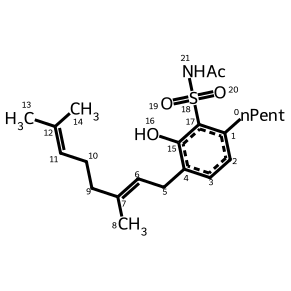 CCCCCc1ccc(C/C=C(\C)CCC=C(C)C)c(O)c1S(=O)(=O)NC(C)=O